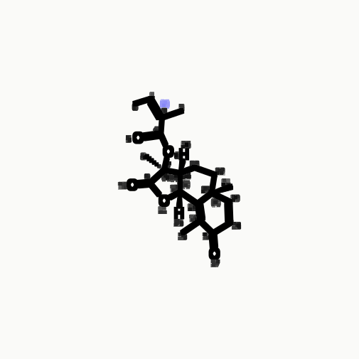 C/C=C(/C)C(=O)O[C@]1(C)C(=O)O[C@H]2C3=C(C)C(=O)C=C[C@@]3(C)CC[C@H]21